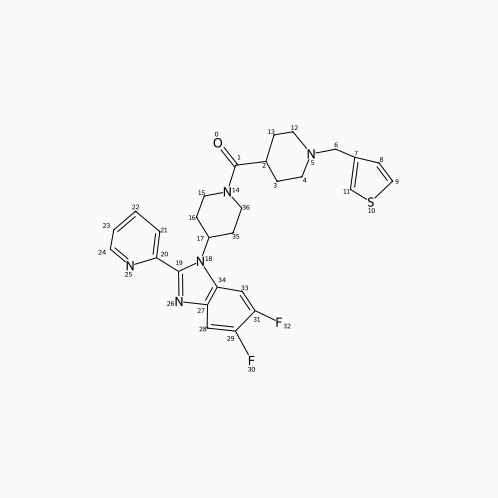 O=C(C1CCN(Cc2ccsc2)CC1)N1CCC(n2c(-c3ccccn3)nc3cc(F)c(F)cc32)CC1